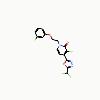 O=c1c(F)c(-c2nnc(C(F)F)o2)ccn1CCOc1cccc(F)c1